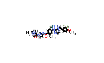 COc1ccc(-c2cnc3c(Nc4ccc(C(=O)NC5CCN(C(=O)C[N+](C)(C)C)C5)c(C)c4)nccn23)c(F)c1F.[Cl-]